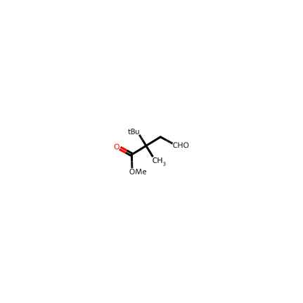 COC(=O)C(C)(CC=O)C(C)(C)C